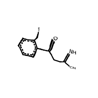 N#CC(=N)CC(=O)c1ccccc1F